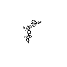 NC(CNC(=O)C1(c2ccc(F)cc2Cl)CC1)C1CCC(C(=O)Nc2ccncc2)CC1